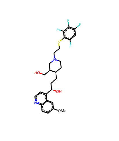 COc1ccc2nccc([C@H](O)CC[C@@H]3CCN(CCSc4c(F)cc(F)c(F)c4F)C[C@@H]3CO)c2c1